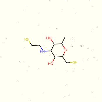 CC1OC(CS)C(O)C(NCCS)C1O